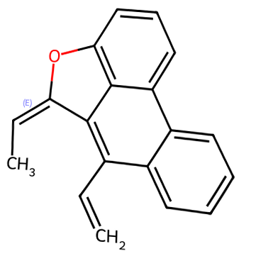 C=Cc1c2ccccc2c2cccc3o/c(=C/C)c1c32